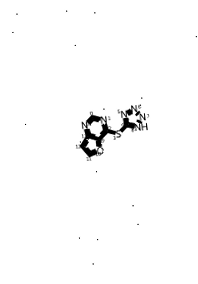 c1nc(Sc2nnn[nH]2)c2occc2n1